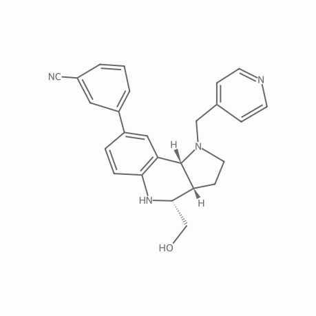 N#Cc1cccc(-c2ccc3c(c2)[C@H]2[C@H](CCN2Cc2ccncc2)[C@H](CO)N3)c1